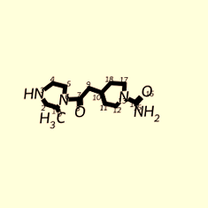 CC1CNCCN1C(=O)CC1CCN(C(N)=O)CC1